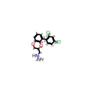 CCCNCC1COc2cccc(-c3ccc(Cl)cc3Cl)c2O1